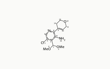 COC(OC)c1c(Cl)cnc(C2=CCOCC2)c1N